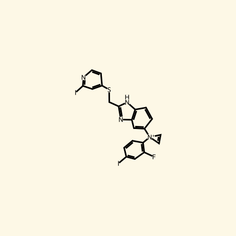 Fc1cc(I)ccc1[N+]1(c2ccc3[nH]c(CSc4ccnc(I)c4)nc3c2)C=C1